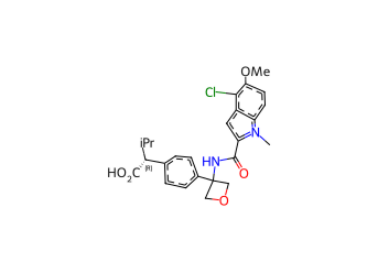 COc1ccc2c(cc(C(=O)NC3(c4ccc([C@H](C(=O)O)C(C)C)cc4)COC3)n2C)c1Cl